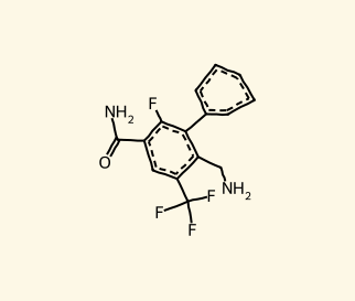 NCc1c(C(F)(F)F)cc(C(N)=O)c(F)c1-c1ccccc1